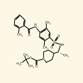 Cc1cc(S(=O)(=O)N[C@H](C)C2CCN(C(=O)OC(C)(C)C)CC2)c(C)cc1NC(=O)c1ccccc1C